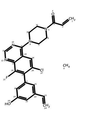 C.C=CC(=O)N1CCN(c2ncnc3c(F)c(-c4cc(O)cc(C=C)c4)c(Cl)cc23)CC1